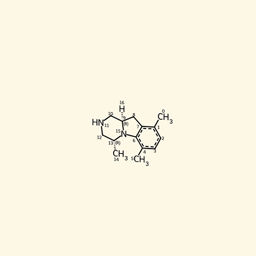 Cc1ccc(C)c2c1C[C@@H]1CNC[C@@H](C)N21